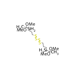 COC(C)(OC)[SiH2]CCCSSSSCCC[SiH2]C(C)(OC)OC